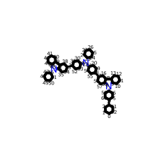 c1ccc(-c2ccc(-n3c4ccccc4c4cc(-c5ccc(N(c6ccccc6)c6ccc(-c7ccc8c(c7)c7ccccc7n8-c7ccccc7)cc6)cc5)ccc43)cc2)cc1